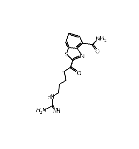 N=C(N)NCCC[CH]C(=O)c1nc2c(C(N)=O)cccc2s1